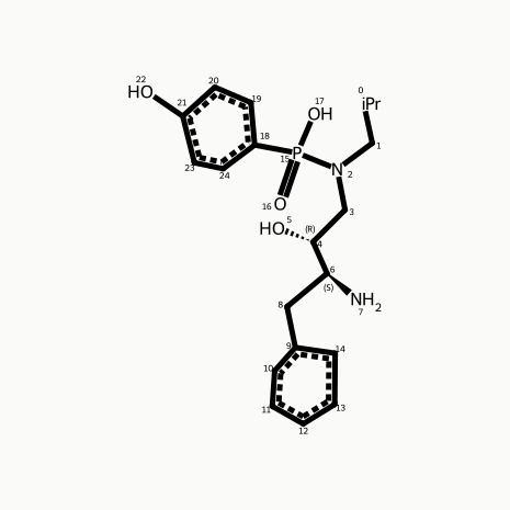 CC(C)CN(C[C@@H](O)[C@@H](N)Cc1ccccc1)P(=O)(O)c1ccc(O)cc1